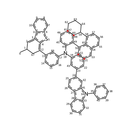 CC1C=c2c(sc3ccccc23)=C(c2cccc(N(c3cccc(-c4ccc5c6ccccc6n(-c6ccccc6)c5c4)c3)c3ccccc3-c3cccc4cccc(C5CCCCC5)c34)c2)C1